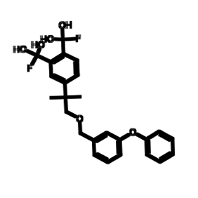 CC(C)(COCc1cccc(Oc2ccccc2)c1)c1ccc(C(O)(O)F)c(C(O)(O)F)c1